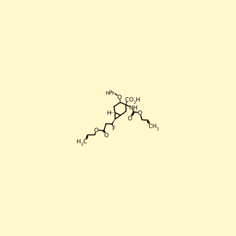 C=CCOC(=O)CC(F)[C@@H]1C2C[C@](NC(=O)OCC=C)(C(=O)O)[C@H](OCCC)C[C@@H]21